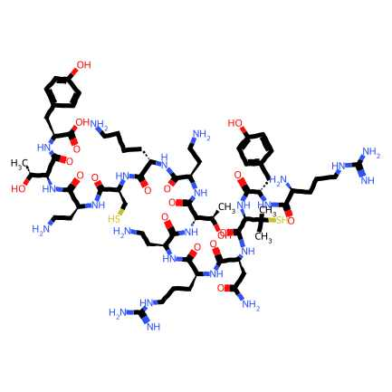 C[C@@H](O)[C@H](NC(=O)[C@H](CCN)NC(=O)[C@H](CS)NC(=O)[C@H](CCCCN)NC(=O)[C@@H](CCN)NC(=O)[C@@H](NC(=O)[C@H](CCN)NC(=O)[C@H](CCCNC(=N)N)NC(=O)[C@H](CC(N)=O)NC(=O)[C@@H](NC(=O)[C@H](Cc1ccc(O)cc1)NC(=O)[C@@H](N)CCCNC(=N)N)C(C)(C)S)[C@@H](C)O)C(=O)N[C@@H](Cc1ccc(O)cc1)C(=O)O